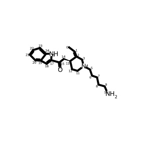 C/C=C1/CN(CCCCCN)CC[C@H]1CC(=O)c1cc2ccccc2[nH]1